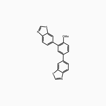 COc1ccc(-c2ccc3ncsc3c2)cc1-c1ccc2ncsc2c1